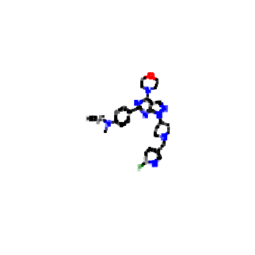 CN(C(=O)O)c1ccc(-c2nc(N3CCOCC3)c3cnn(C4CCN(Cc5ccc(F)nc5)CC4)c3n2)cc1